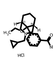 CCOC1(c2cccc(C(N)=O)c2)[C@@H]2CCC[C@H]1CN(CC1CC1)C2.Cl